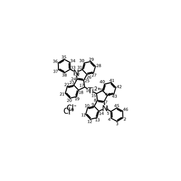 [Cl-].[Cl-].c1ccc(-n2c3c(c4ccccc42)[CH]([Ti+2][CH]2c4ccccc4-c4c2c2ccccc2n4-c2ccccc2)c2ccccc2-3)cc1